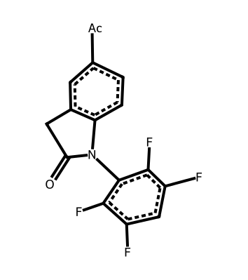 CC(=O)c1ccc2c(c1)CC(=O)N2c1c(F)c(F)cc(F)c1F